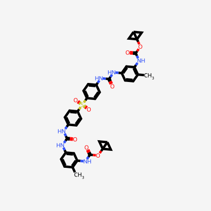 Cc1ccc(NC(=O)Nc2ccc(S(=O)(=O)c3ccc(NC(=O)Nc4ccc(C)c(NC(=O)OC56CC5C6)c4)cc3)cc2)cc1NC(=O)OC12CC1C2